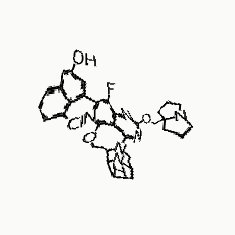 Oc1cc(-c2nc3c4c(nc(OCC56CCCN5CCC6)nc4c2F)N2CC4CCC(N4)C2CO3)c2c(Cl)cccc2c1